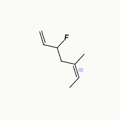 C=CC(F)C/C(C)=C\C